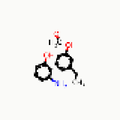 C=O.CCc1cccc(O)c1.Nc1cccc(O)c1